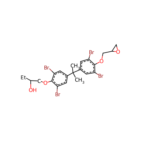 CCC(O)COc1c(Br)cc(C(C)(C)c2cc(Br)c(OCC3CO3)c(Br)c2)cc1Br